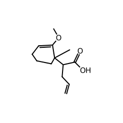 C=CCC(C(=O)O)C1(C)CCCC=C1OC